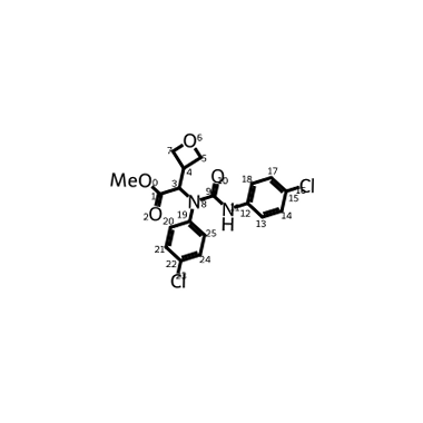 COC(=O)C(C1COC1)N(C(=O)Nc1ccc(Cl)cc1)c1ccc(Cl)cc1